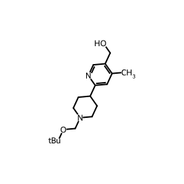 Cc1cc(C2CCN(COC(C)(C)C)CC2)ncc1CO